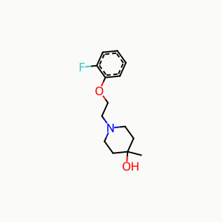 CC1(O)CCN(CCOc2ccccc2F)CC1